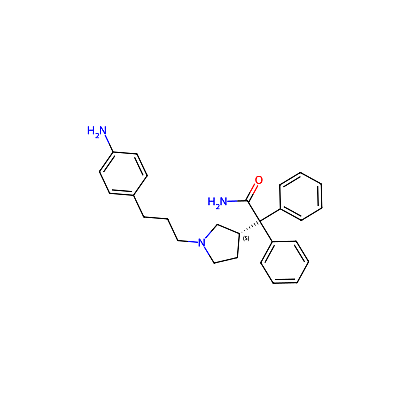 NC(=O)C(c1ccccc1)(c1ccccc1)[C@@H]1CCN(CCCc2ccc(N)cc2)C1